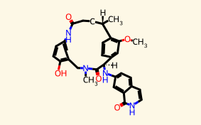 COc1cc2ccc1[C@@H](C)CCC(=O)Nc1ccc(O)c(c1)CN(C)C(=O)[C@@H]2Nc1ccc2cc[nH]c(=O)c2c1